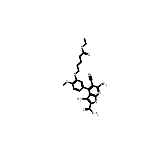 CCOC(=O)CCCCOc1cc(-c2c(C#N)c(N)nc3sc(C(N)=O)c(N)c23)ccc1OC